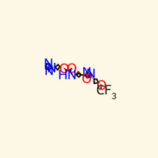 O=C(CO[C@H]1C[C@@H](n2nccn2)C1)NC12CC(c3nnc([C@H]4C[C@@H](OC(F)(F)F)C4)o3)(C1)C2